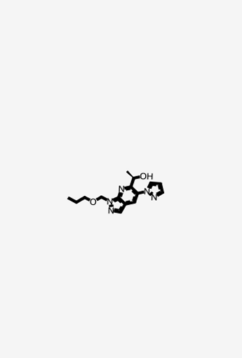 CCCOCn1ncc2cc(-n3cccn3)c([C@@H](C)O)nc21